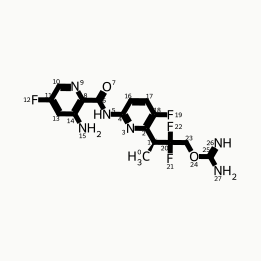 C[C@@H](c1nc(NC(=O)c2ncc(F)cc2N)ccc1F)C(F)(F)COC(=N)N